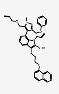 C=CCOCc1c(-c2cccc3c(CCCOc4cccc5ccccc45)c(C=O)n(CC=C)c23)c(COc2ccccc2)nn1C